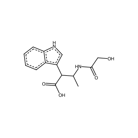 CC(NC(=O)CO)C(C(=O)O)c1c[nH]c2ccccc12